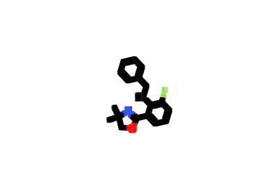 CC1(C)COC(c2cccc(F)c2[Se]Cc2ccccc2)=N1